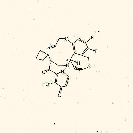 O=C1c2c(O)c(=O)ccn2N2CN1C1(/C=C/COc3cc(F)c(F)c4c3[C@@H]2c2ccccc2SC4)CCC1